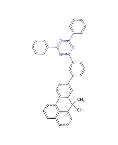 CC1(C)c2cc(-c3cccc(-c4nc(-c5ccccc5)nc(-c5ccccc5)n4)c3)ccc2-c2cccc3cccc1c23